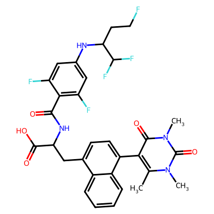 Cc1c(-c2ccc(CC(NC(=O)c3c(F)cc(NC(CCF)C(F)F)cc3F)C(=O)O)c3ccccc23)c(=O)n(C)c(=O)n1C